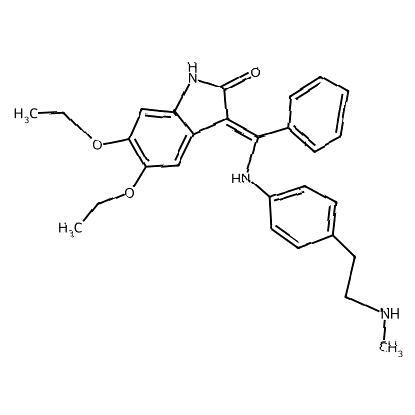 CCOc1cc2c(cc1OCC)C(=C(Nc1ccc(CCNC)cc1)c1ccccc1)C(=O)N2